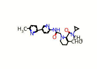 Cc1ccc(-c2ccc(NC(=O)CN3CCCC(C=O)=C3C(=O)N(C)C3CC3)nc2)cn1